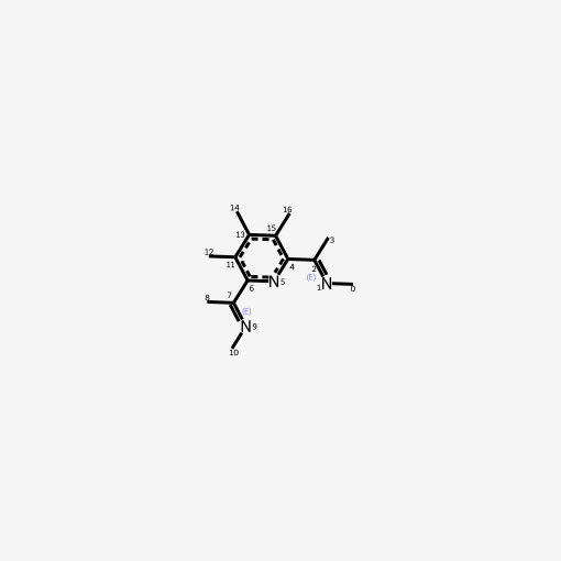 C/N=C(\C)c1nc(/C(C)=N/C)c(C)c(C)c1C